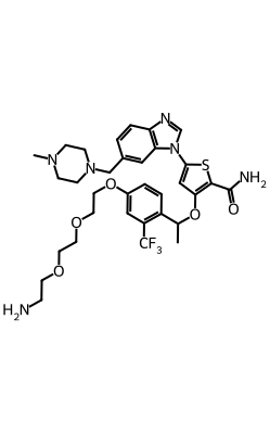 CC(Oc1cc(-n2cnc3ccc(CN4CCN(C)CC4)cc32)sc1C(N)=O)c1ccc(OCCOCCOCCN)cc1C(F)(F)F